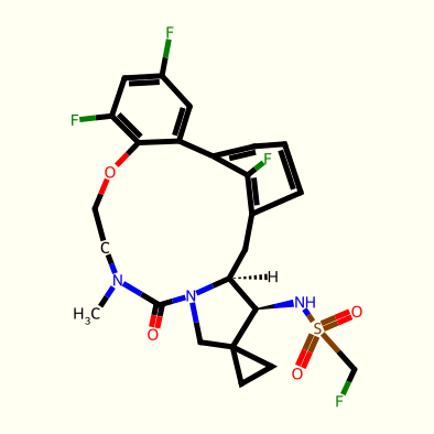 CN1CCOc2c(F)cc(F)cc2-c2cccc(c2F)C[C@H]2[C@@H](NS(=O)(=O)CF)C3(CC3)CN2C1=O